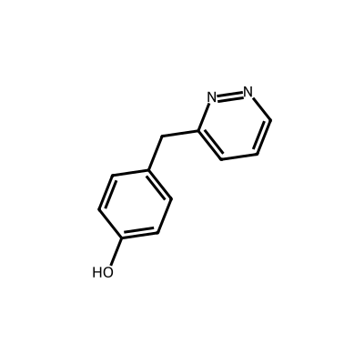 Oc1ccc(Cc2cccnn2)cc1